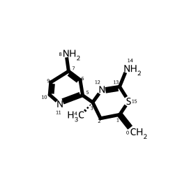 C=C1C[C@@](C)(c2cc(N)ccn2)N=C(N)S1